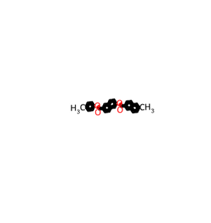 Cc1ccc(OC(=O)c2ccc3cc(OC(=O)c4ccc5cc(C)ccc5c4)ccc3c2)cc1